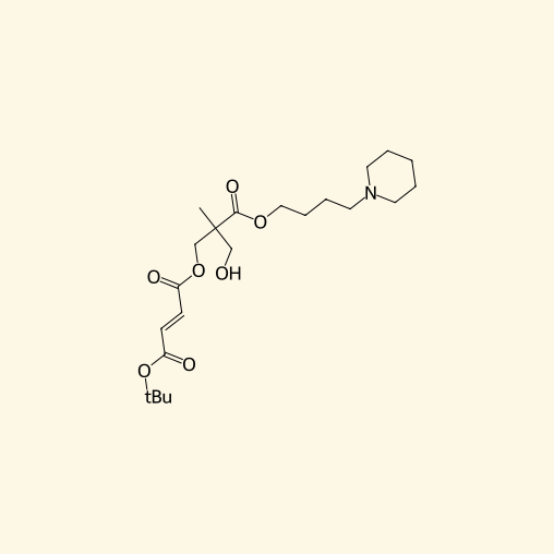 CC(C)(C)OC(=O)/C=C/C(=O)OCC(C)(CO)C(=O)OCCCCN1CCCCC1